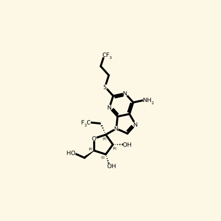 Nc1nc(SCCC(F)(F)F)nc2c1ncn2[C@]1(CC(F)(F)F)O[C@H](CO)[C@@H](O)[C@H]1O